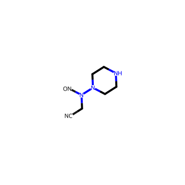 N#CCN(N=O)N1CCNCC1